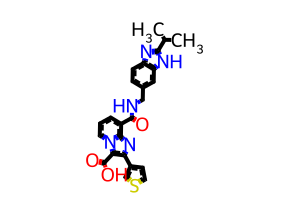 CC(C)c1nc2ccc(CNC(=O)c3cccn4c(C(=O)O)c(-c5ccsc5)nc34)cc2[nH]1